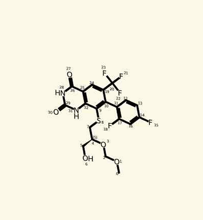 COCO[C@@H](CO)CSc1c(-c2ccc(F)cc2F)c(C(F)(F)F)cc2c(=O)[nH]c(=O)[nH]c12